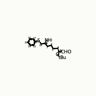 CC(C)(C)ON(C=O)CCCC[C@@H]([NH])CSc1ccccc1